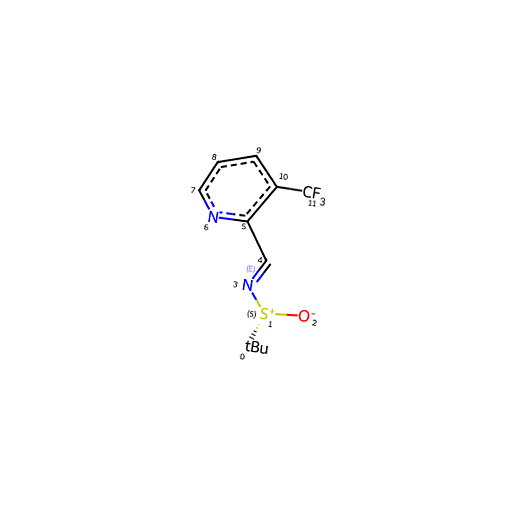 CC(C)(C)[S@@+]([O-])/N=C/c1ncccc1C(F)(F)F